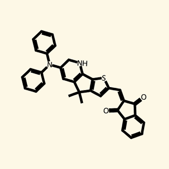 CC1(C)C2=C(NCC(N(c3ccccc3)c3ccccc3)=C2)c2sc(C=C3C(=O)c4ccccc4C3=O)cc21